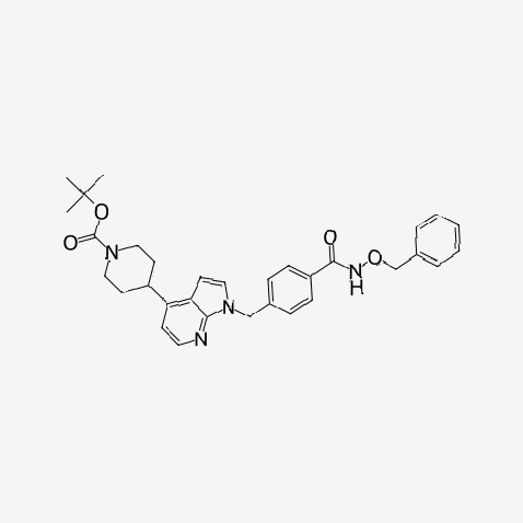 CC(C)(C)OC(=O)N1CCC(c2ccnc3c2ccn3Cc2ccc(C(=O)NOCc3ccccc3)cc2)CC1